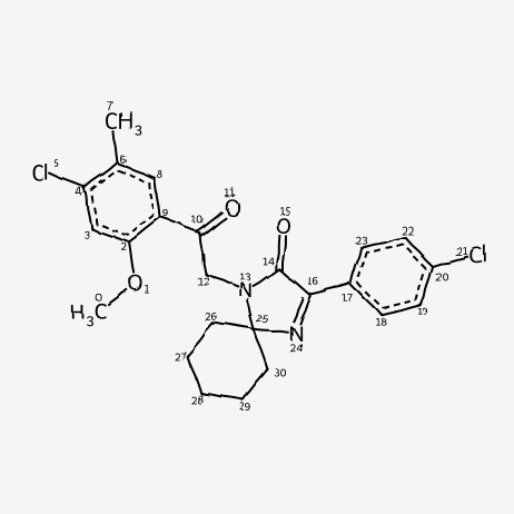 COc1cc(Cl)c(C)cc1C(=O)CN1C(=O)C(c2ccc(Cl)cc2)=NC12CCCCC2